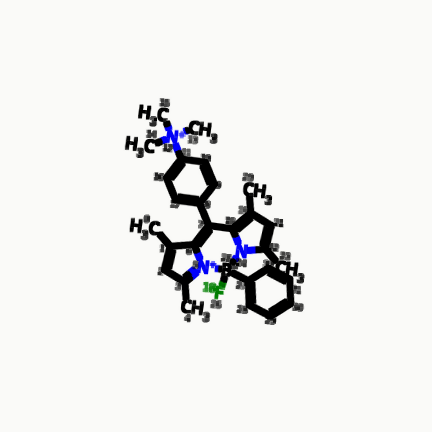 CC1=CC(C)=[N+]2C1=C(c1ccc([N+](C)(C)C)cc1)c1c(C)cc(C)n1[B-]2([18F])c1ccccc1